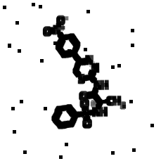 C[C@H](NS(=O)(=O)c1ccccc1)C(=O)NC1=NN=C(c2ccc([N+](=O)[O-])cc2)CS1